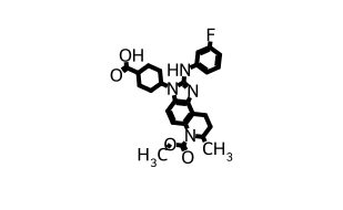 COC(=O)N1c2ccc3c(nc(Nc4cccc(F)c4)n3C3CCC(C(=O)O)CC3)c2CCC1C